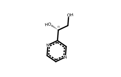 OC[C@@H](O)c1cn[c]cn1